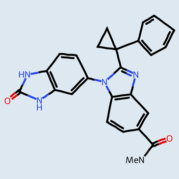 CNC(=O)c1ccc2c(c1)nc(C1(c3ccccc3)CC1)n2-c1ccc2[nH]c(=O)[nH]c2c1